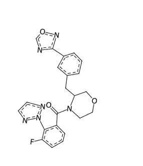 O=C(c1cccc(F)c1-n1nccn1)N1CCOCC1Cc1cccc(-c2ncon2)c1